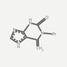 C=C1c2[nH]cnc2NC(=O)N1C(C)C